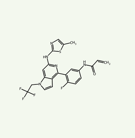 C=CC(=O)Nc1ccc(F)c(-c2nc(Nc3ncc(C)s3)cc3c2ccn3CC(F)(F)F)c1